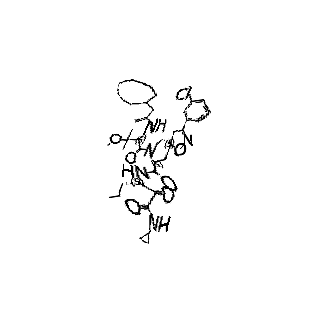 C=C(CC1CCCCCC1)N[C@H](C(=O)N1C[C@@]2(CC(c3cccc(Cl)c3)=NO2)C[C@H]1C(=O)N[C@@H](CCC)C(=O)C(=O)NC1CC1)C(C)(C)OC